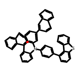 c1cc(-c2ccc3ccccc3c2)cc(N(c2ccc(-c3cccc4sc5ccccc5c34)cc2)c2ccccc2-c2cccc3ccccc23)c1